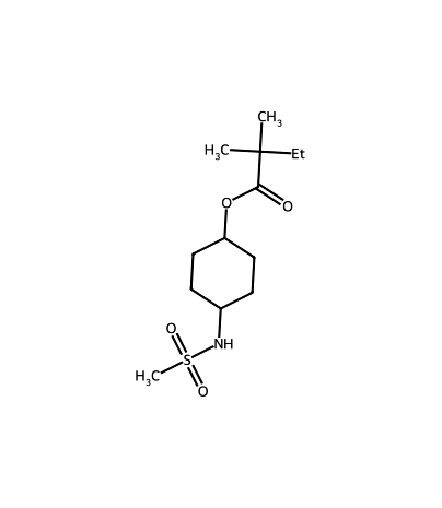 CCC(C)(C)C(=O)OC1CCC(NS(C)(=O)=O)CC1